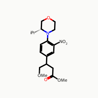 COCC(CC(=O)OC)c1ccc(N2CCOC[C@H]2C(C)C)c([N+](=O)[O-])c1